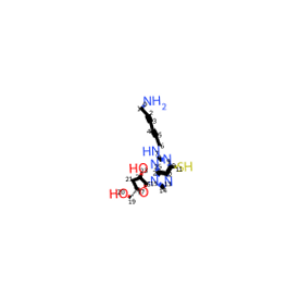 NCC#CC#CCNc1nc(S)c2ncn([C@@H]3O[C@H](CO)CC3O)c2n1